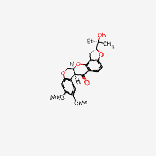 CC[C@@](C)(O)[C@H]1Cc2c(ccc3c2O[C@@H]2COc4cc(OC)c(OC)cc4[C@@H]2C3=O)O1